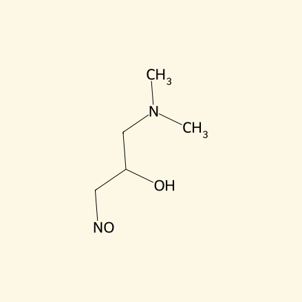 CN(C)CC(O)CN=O